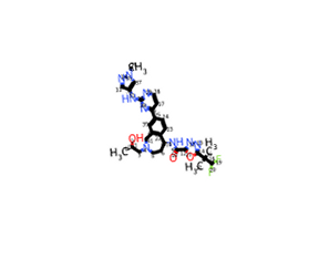 C[C@H](O)CN1CC[C@@H](NC(=O)c2nnc(C(C)(C)C(F)F)o2)c2ccc(-c3ccnc(Nc4cnn(C)c4)n3)cc2C1